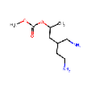 CO[Si](=O)OC(C)CC(CN)CCN